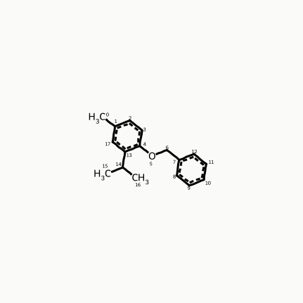 Cc1ccc(OCc2ccccc2)c(C(C)C)c1